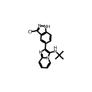 CC(C)(C)Nc1c(-c2ccc3[nH]nc(Cl)c3c2)nc2ccccn12